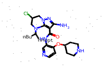 CCCCCCCC(CCCC)N1CC(Cl)Cn2nc(N)c(C(=O)Nc3cnccc3OC3CCNCC3)c21